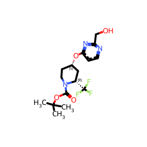 CC(C)(C)OC(=O)N1CC[C@H](Oc2ccnc(CO)n2)C[C@@H]1C(F)(F)F